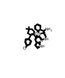 CC1(C)CCC(CC2CNCCN2C2(Oc3cnc4[nH]ccc4c3)C=CC=CC2C(N)=O)=C(c2ccc(Cl)cc2)C1